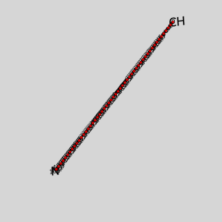 C#CC#CC#CC#CC#CC#CC#CC#CC#CC#CC#CC#CC#CC#CC#CC#CC#CC#CC#CC#CC#CC#CC#CC#CC#CC#CC#CC#CC#CC#CC#CC#CC#CC#CC#CC#CC#CC#CC#CC#CC#CC#CC#CC#CC#CC#CC#CC#CC#CC#CC#CC#N